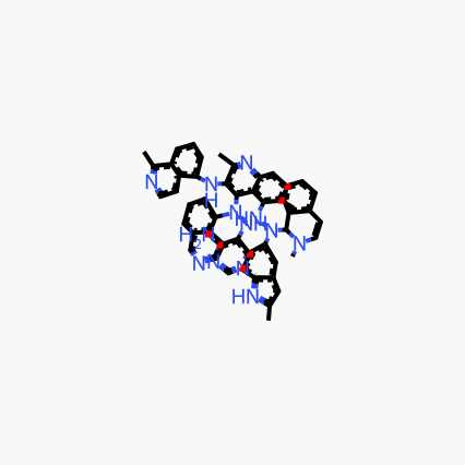 Cc1cc2cc(N(Nc3c(C)ccc4nc(C)c(Nc5cccc6c(C)nccc56)c(N(Nc5cncnc5N)c5cccc6cnccc56)c34)C3c4ccccc4C=CN3C)ccc2[nH]1